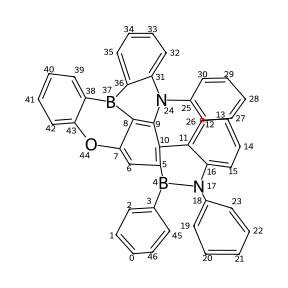 c1ccc(B2c3cc4c5c(c3-c3ccccc3N2c2ccccc2)N(c2ccccc2)c2ccccc2B5c2ccccc2O4)cc1